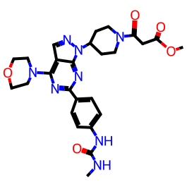 CNC(=O)Nc1ccc(-c2nc(N3CCOCC3)c3cnn(C4CCN(C(=O)CC(=O)OC)CC4)c3n2)cc1